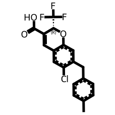 Cc1ccc(Cc2cc3c(cc2Cl)C=C(C(=O)O)[C@H](C(F)(F)F)O3)cc1